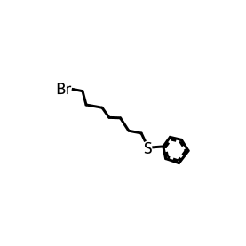 BrCCCCCCCSc1ccccc1